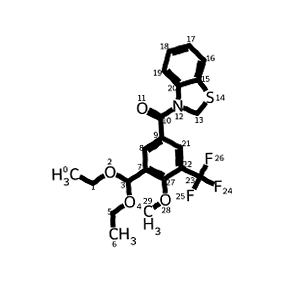 CCOC(OCC)c1cc(C(=O)N2CSc3ccccc32)cc(C(F)(F)F)c1OC